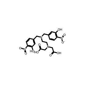 O=C(O)CN(CCN(Cc1ccc([N+](=O)[O-])c(O)c1)Cc1ccc([N+](=O)[O-])c(O)c1)CC(=O)O